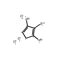 CCCC1=CCC(CCC)=[C]1[Zr+3].[Cl-].[Cl-].[Cl-]